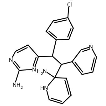 Nc1nccc(C(c2ccc(Cl)cc2)C(c2cccnc2)C2(N)C=CC=CN2)n1